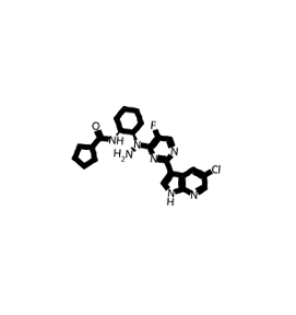 NN(c1nc(-c2c[nH]c3ncc(Cl)cc23)ncc1F)[C@@H]1CCCC[C@H]1NC(=O)C1CCCC1